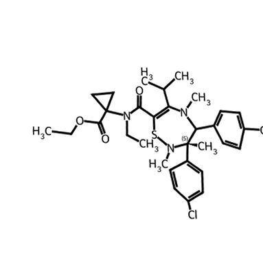 CCOC(=O)C1(N(CC)C(=O)C2=C(C(C)C)N(C)C(c3ccc(Cl)cc3)[C@](C)(c3ccc(Cl)cc3)N(C)S2)CC1